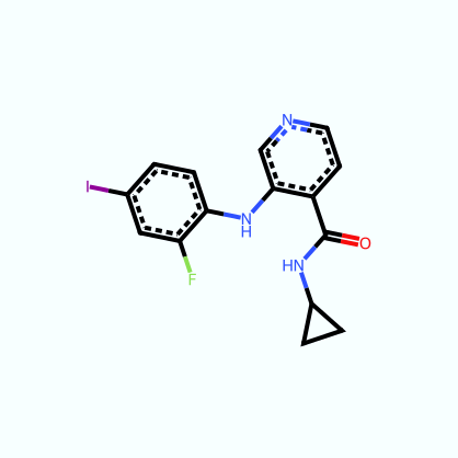 O=C(NC1CC1)c1ccncc1Nc1ccc(I)cc1F